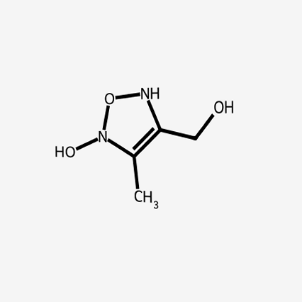 CC1=C(CO)NON1O